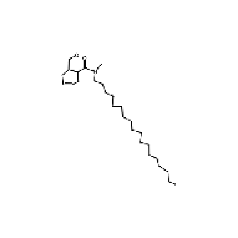 CCCCCCCCCCCCCCCCCCN(C)C(=O)C1CC=CCC1CO